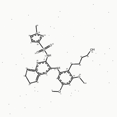 COc1cc(Nc2nc3c(nc2NS(=O)(=O)c2ccn(C)n2)=CCCC=3)c(CCCCO)c(OC)c1